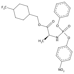 C[C@H](NP(=O)(Oc1ccccc1)Oc1ccc([N+](=O)[O-])cc1)C(=O)OCC1CCC(C(F)(F)F)CC1